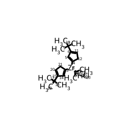 C[C](C)=[Zr]([C]1=CC(C(C)(C)C)=CC1)[C]1=CC(C(C)(C)C)=CC1.Cl.Cl